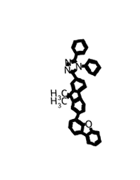 CC1(C)c2cc(-c3cccc4c3oc3ccccc34)ccc2-c2ccc(-c3nnc(-c4ccccc4)n3-c3ccccc3)cc21